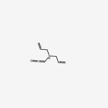 C=CC[SiH](C=C=O)CC=C